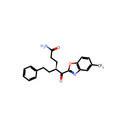 NC(=O)CC[C@H](CCc1ccccc1)C(=O)c1nc2cc(C(F)(F)F)ccc2o1